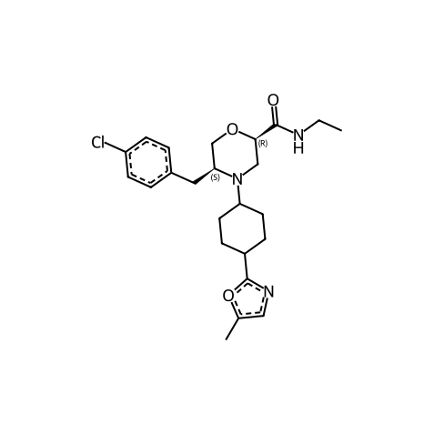 CCNC(=O)[C@H]1CN(C2CCC(c3ncc(C)o3)CC2)[C@@H](Cc2ccc(Cl)cc2)CO1